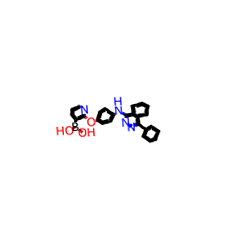 OB(O)c1cccnc1Oc1ccc(Nc2nnc(-c3ccccc3)c3ccccc23)cc1